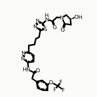 O=C(Cc1cccc(OC(F)(F)F)c1)Nc1ccc(CCCCc2nnc(NC(=O)CN3C[C@@H](O)CC3=O)s2)nn1